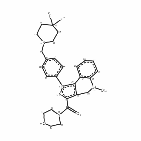 O=C(c1nn(-c2ccc(CN3CCC(F)(F)CC3)cc2)c2c1C[S+]([O-])c1ccccc1-2)N1CCOCC1